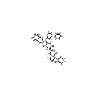 c1ccc(-c2cccc(N(c3ccc(-c4ccc5c(ccc6sc7ccccc7c65)c4)cc3)c3ccc4ccccc4c3)c2)cc1